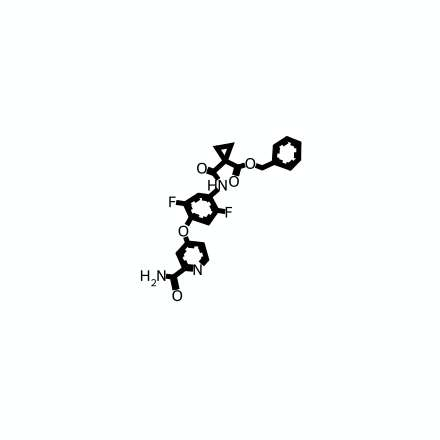 NC(=O)c1cc(Oc2cc(F)c(NC(=O)C3(C(=O)OCc4ccccc4)CC3)cc2F)ccn1